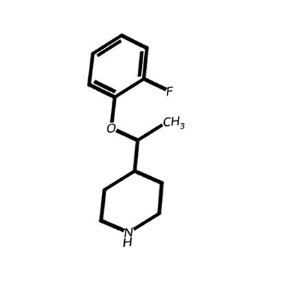 CC(Oc1ccccc1F)C1CCNCC1